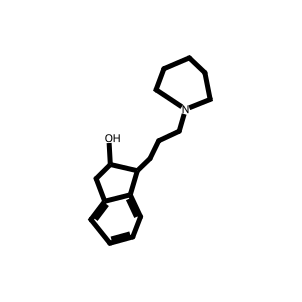 OC1Cc2ccccc2C1CCCN1CCCCC1